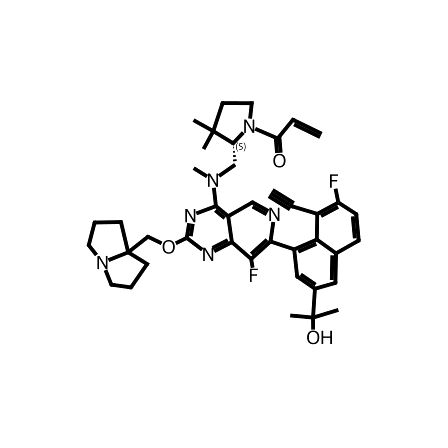 C#Cc1c(F)ccc2cc(C(C)(C)O)cc(-c3ncc4c(N(C)C[C@H]5N(C(=O)C=C)CCC5(C)C)nc(OCC56CCCN5CCC6)nc4c3F)c12